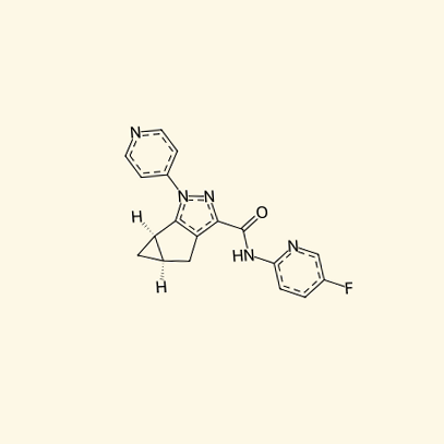 O=C(Nc1ccc(F)cn1)c1nn(-c2ccncc2)c2c1C[C@H]1C[C@@H]21